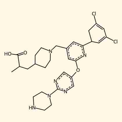 CC(CC1CCN(Cc2cc(Oc3cnc(N4CCNCC4)nc3)nc(C3C=C(Cl)C=C(Cl)C3)c2)CC1)C(=O)O